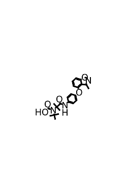 Cc1noc2cccc(Oc3ccc(NC(=O)C(C)(C)N(C(=O)O)C(C)(C)C)cc3)c12